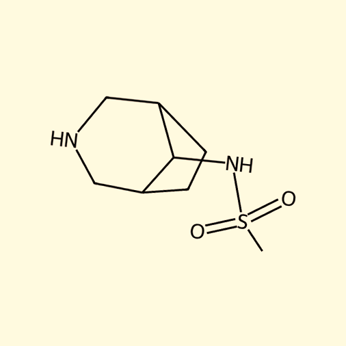 CS(=O)(=O)NC1C2CCC1CNC2